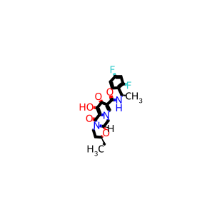 CC[C@H]1CCN2C(=O)c3c(O)c(=O)c(C(=O)N[C@H](C)c4ccc(F)cc4F)cn3C[C@H]2O1